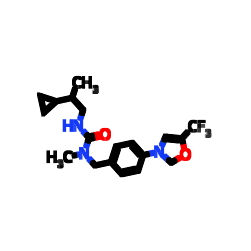 CC(CNC(=O)N(C)Cc1ccc(N2C=C(C(F)(F)F)OC2)cc1)C1CC1